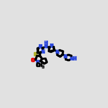 CN1C(=O)c2sc3cnc(Nc4ccc(N5CCC(N6CCNCC6)CC5)cn4)nc3c2C2CCCC21